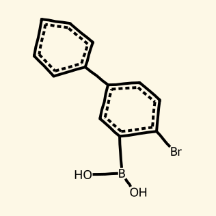 OB(O)c1cc(-c2ccccc2)ccc1Br